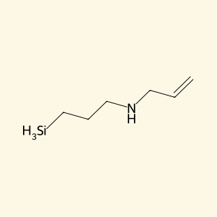 C=CCNCCC[SiH3]